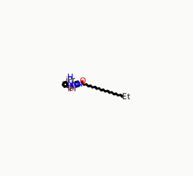 CCC=CCC=CCC=CCC=CCC=CCC=CCCC(=O)N1CCN(C(=O)Nc2c(C(C)C)cccc2C(C)C)CC1